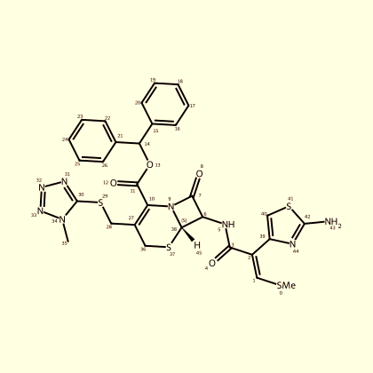 CSC=C(C(=O)NC1C(=O)N2C(C(=O)OC(c3ccccc3)c3ccccc3)=C(CSc3nnnn3C)CS[C@@H]12)c1csc(N)n1